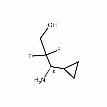 N[C@@H](C1CC1)C(F)(F)CO